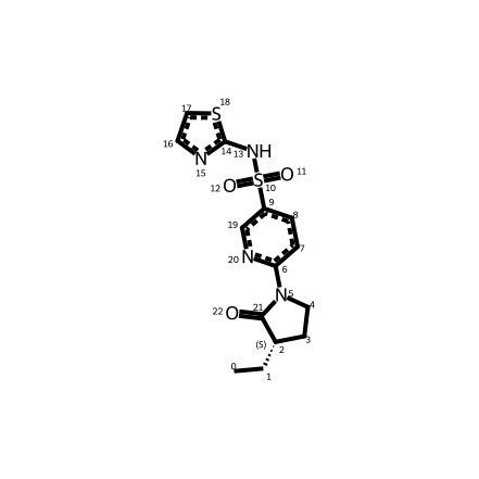 CC[C@H]1CCN(c2ccc(S(=O)(=O)Nc3nccs3)cn2)C1=O